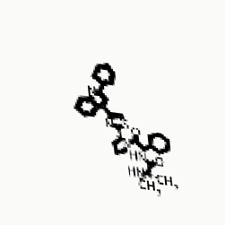 CN[C@@H](C)C(=O)N[C@H](C(=O)N1CCC[C@H]1c1nc(-c2cc(-c3ccccc3)nc3ccccc23)cs1)C1CCCCC1